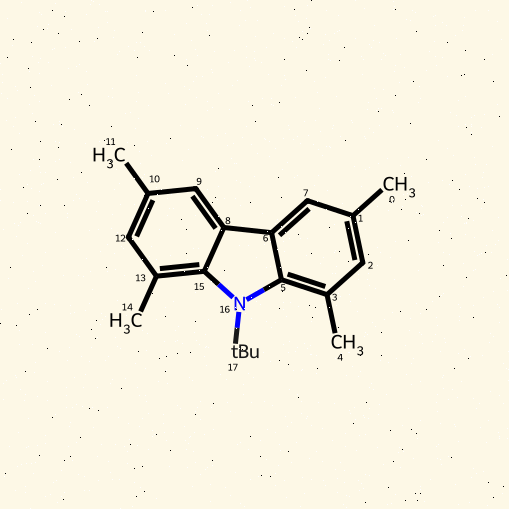 Cc1cc(C)c2c(c1)c1cc(C)cc(C)c1n2C(C)(C)C